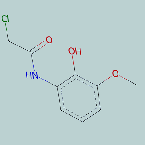 COc1cccc(NC(=O)CCl)c1O